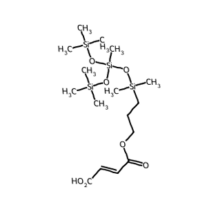 C[Si](C)(C)O[Si](C)(O[Si](C)(C)C)O[Si](C)(C)CCCOC(=O)C=CC(=O)O